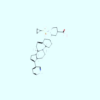 C[C@]12CC[C@H](C3CC(C(=O)O)CCN3S(=O)(=O)C3CC3)CC1=CC[C@@H]1[C@@H]2CC[C@]2(C)C(c3cccnc3)=CC[C@@H]12